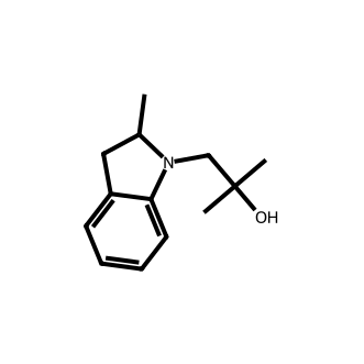 CC1Cc2ccccc2N1CC(C)(C)O